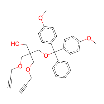 C#CCOCC(CO)(COCC#C)COC(c1ccccc1)(c1ccc(OC)cc1)c1ccc(OC)cc1